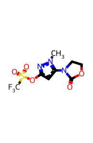 Cn1nc(OS(=O)(=O)C(F)(F)F)cc1N1CCOC1=O